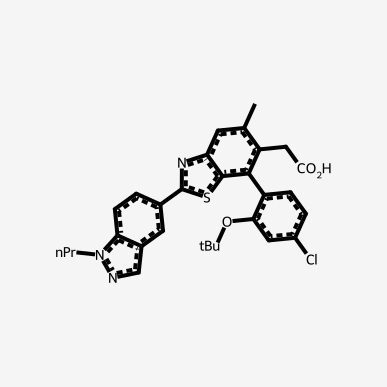 CCCn1ncc2cc(-c3nc4cc(C)c(CC(=O)O)c(-c5ccc(Cl)cc5OC(C)(C)C)c4s3)ccc21